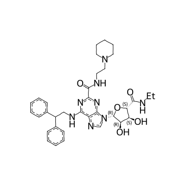 CCNC(=O)[C@H]1O[C@@H](n2cnc3c(NCC(c4ccccc4)c4ccccc4)nc(C(=O)NCCN4CCCCC4)nc32)[C@H](O)[C@@H]1O